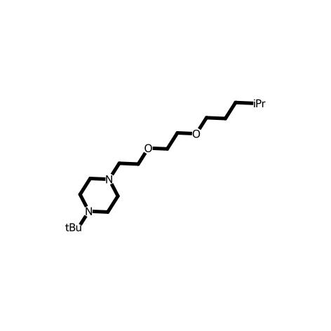 CC(C)CCCOCCOCCN1CCN(C(C)(C)C)CC1